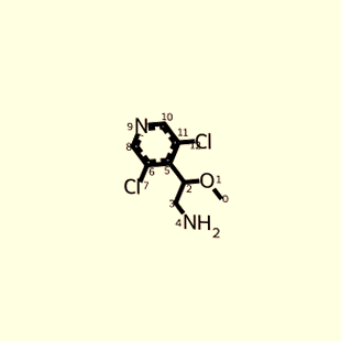 COC(CN)c1c(Cl)cncc1Cl